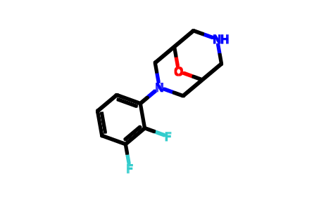 Fc1cccc(N2CC3CNCC(C2)O3)c1F